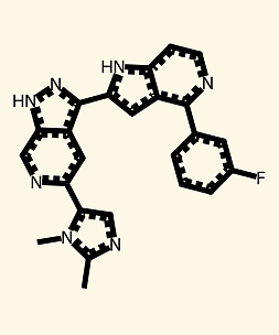 Cc1ncc(-c2cc3c(-c4cc5c(-c6cccc(F)c6)nccc5[nH]4)n[nH]c3cn2)n1C